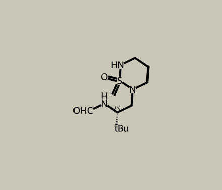 C=S1(=O)NCCCN1C[C@@H](NC=O)C(C)(C)C